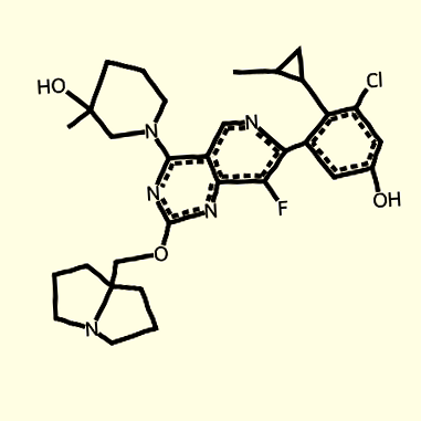 CC1CC1c1c(Cl)cc(O)cc1-c1ncc2c(N3CCCC(C)(O)C3)nc(OCC34CCCN3CCC4)nc2c1F